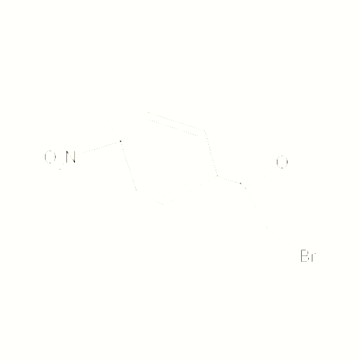 CC1([N+](=O)[O-])C=CC(C(=O)CBr)=CC1